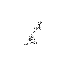 CCCC(CCC)C(=O)NC(=O)OCCSSCCNC(=O)c1cccnc1